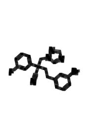 N#CC(CCc1cccc(Br)c1)(Cn1cncn1)c1cccc(F)c1